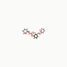 Brc1c(COC2CCCCO2)cccc1OCCOC1CCCCO1